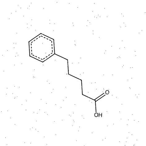 O=C(O)CC[CH]Cc1ccccc1